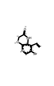 C=Cc1c(Br)cnc2c1NC(=O)CO2